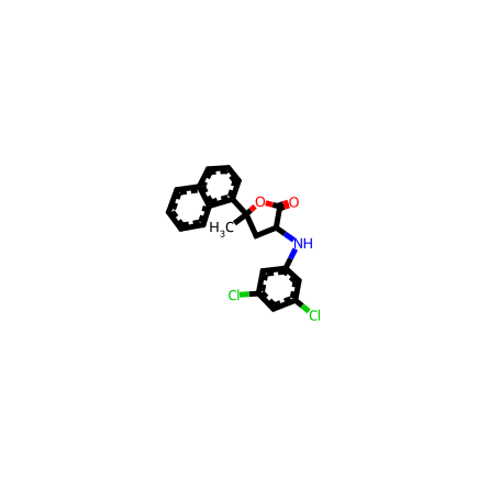 CC1(c2cccc3ccccc23)CC(Nc2cc(Cl)cc(Cl)c2)C(=O)O1